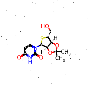 CC1(C)O[C@@H]2[C@@H](CO)SC(n3ccc(=O)[nH]c3=O)[C@@H]2O1